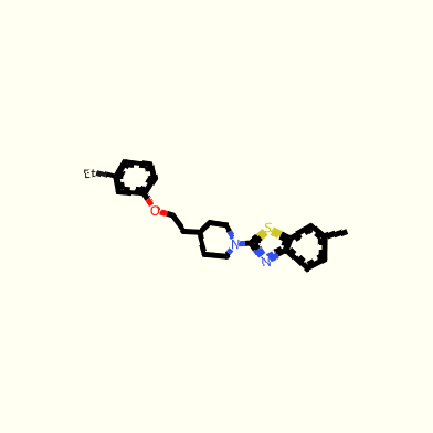 CCc1cccc(OCCC2CCN(c3nc4ccc(C)cc4s3)CC2)c1